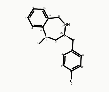 CN1C[C@H](Cc2ccc(Cl)cc2)NCc2ccccc21